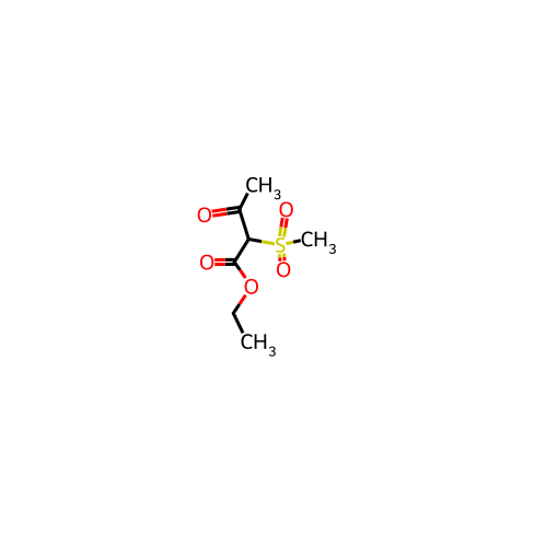 CCOC(=O)C(C(C)=O)S(C)(=O)=O